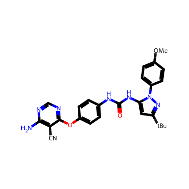 COc1ccc(-n2nc(C(C)(C)C)cc2NC(=O)Nc2ccc(Oc3ncnc(N)c3C#N)cc2)cc1